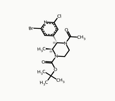 CC(=O)N1CCN(C(=O)OC(C)(C)C)[C@@H](C)[C@@H]1c1cc(Cl)nc(Br)c1